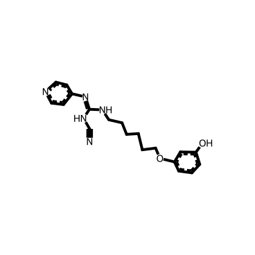 N#CNC(=Nc1ccncc1)NCCCCCCOc1cccc(O)c1